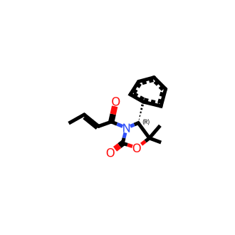 CC=CC(=O)N1C(=O)OC(C)(C)[C@H]1c1ccccc1